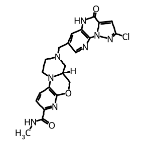 CNC(=O)c1ccc2c(n1)OC[C@H]1CN(Cc3cnc4c(c3)[nH]c(=O)c3cc(Cl)nn34)CCN21